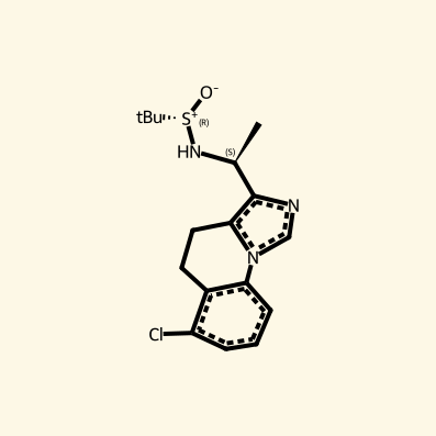 C[C@H](N[S@@+]([O-])C(C)(C)C)c1ncn2c1CCc1c(Cl)cccc1-2